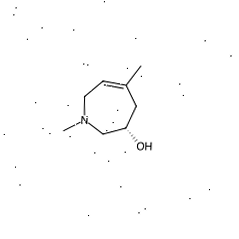 CC1=CCN(C)C[C@@H](O)C1